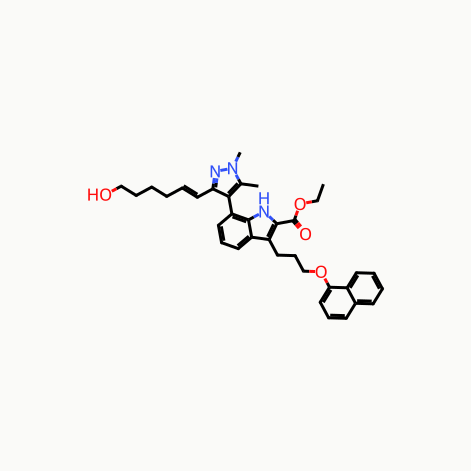 CCOC(=O)c1[nH]c2c(-c3c(C=CCCCCO)nn(C)c3C)cccc2c1CCCOc1cccc2ccccc12